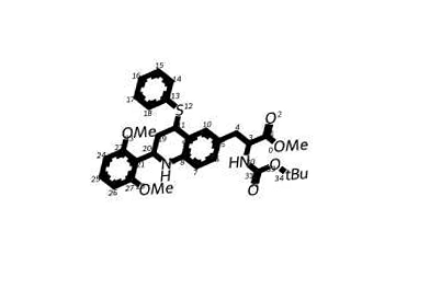 COC(=O)C(Cc1ccc2c(c1)C(Sc1ccccc1)CC(c1c(OC)cccc1OC)N2)NC(=O)OC(C)(C)C